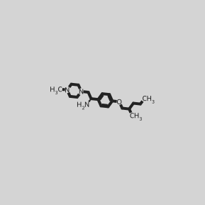 CCCC(C)COc1ccc([C@@H](N)CN2CCN(C)CC2)cc1